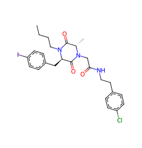 CCCCN1C(=O)[C@H](C)N(CC(=O)NCCc2ccc(Cl)cc2)C(=O)[C@H]1Cc1ccc(I)cc1